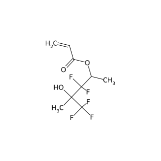 C=CC(=O)OC(C)C(F)(F)C(C)(O)C(F)(F)F